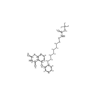 CC(C)(C)OC(=O)NCCCCCCCCCc1ccccc1Oc1cccc2c1C(=O)NC(=O)C2